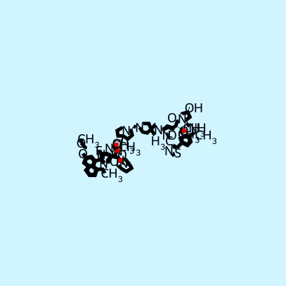 CCc1cccc2cc(OCOC)cc(-c3ncc4c(N5CC6CCC(C5)N6C(=O)OC(C)(C)C)nc(OC[C@@]56CCCN5[C@H](CN5CCC7(CC5)CN(c5cc([C@H](C(=O)N8C[C@H](O)C[C@H]8C(=O)N[C@@H](C)c8ccc(-c9scnc9C)cc8)C(C)C)on5)C7)CC6)nc4c3F)c12